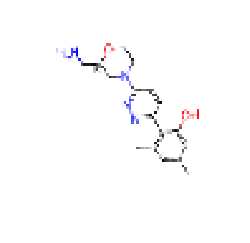 Cc1cc(C)c(-c2ccc(N3CCO[C@H](CN)C3)nn2)c(O)c1